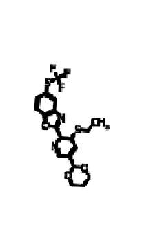 CCSc1cc(C2OCCCO2)cnc1-c1nc2cc(SC(F)(F)F)ccc2o1